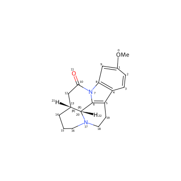 COc1ccc2c3c4n(c2c1)C(=O)C[C@H]1CCCN(CC3)[C@@H]41